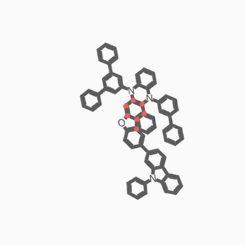 c1ccc(-c2cccc(N(c3ccc4oc5ccc(-c6ccc7c8ccccc8n(-c8ccccc8)c7c6)cc5c4c3)c3ccccc3N(c3cc(-c4ccccc4)cc(-c4ccccc4)c3)c3ccc4ccccc4c3)c2)cc1